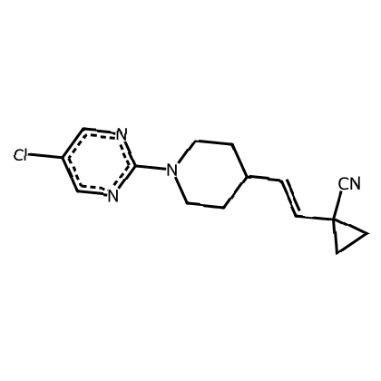 N#CC1(C=CC2CCN(c3ncc(Cl)cn3)CC2)CC1